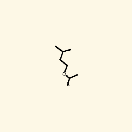 [CH2]C(C)OCCC(C)C